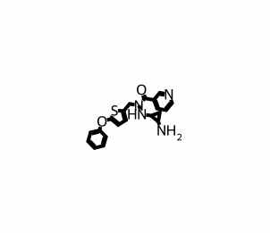 NC1CC1NN(Cc1ccc(Oc2ccccc2)s1)C(=O)c1cccnc1